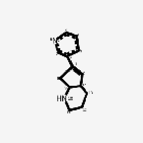 C1=C(c2cccnc2)CC2NCCCC12